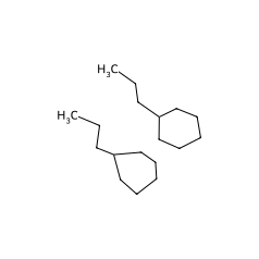 CCCC1CCCCC1.CCCC1CCCCC1